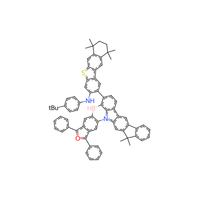 CC(C)(C)c1ccc(Nc2cc3sc4cc5c(cc4c3cc2-c2ccc3c4cc6c(cc4n4c3c2Bc2cc3c(-c7ccccc7)oc(-c7ccccc7)c3cc2-4)C(C)(C)c2ccccc2-6)C(C)(C)CCC5(C)C)cc1